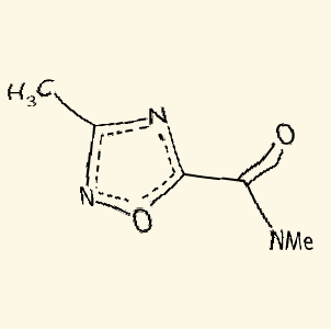 CNC(=O)c1nc(C)no1